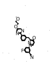 COCCOc1cnc(-c2cccc(Cc3nn(-c4cc(F)cc(C#N)c4)ccc3=O)c2)nc1